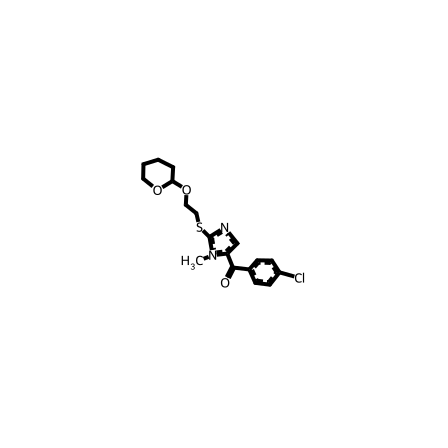 Cn1c(C(=O)c2ccc(Cl)cc2)cnc1SCCOC1CCCCO1